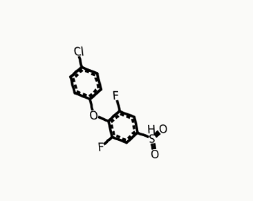 O=[SH](=O)c1cc(F)c(Oc2ccc(Cl)cc2)c(F)c1